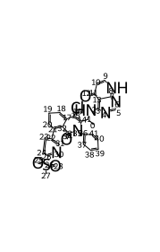 C[C@H](Nc1ncnc2[nH]ccc(=O)c12)c1c(Cl)c2cccc(-c3ccc(S(C)(=O)=O)nc3)c2c(=O)n1-c1ccccc1